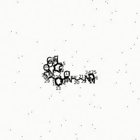 COc1c(F)cccc1-n1c(-c2cccc(C(=O)NCCCCn3cccn3)c2)csc1=O